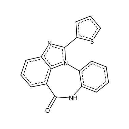 O=C1Nc2ccccc2-n2c(-c3cccs3)nc3cccc1c32